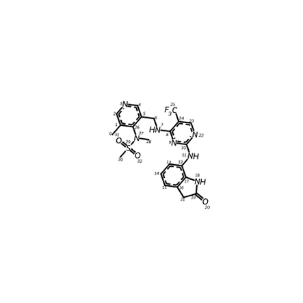 Cc1cncc(CNc2nc(Nc3cccc4c3NC(=O)C4)ncc2C(F)(F)F)c1N(C)S(C)(=O)=O